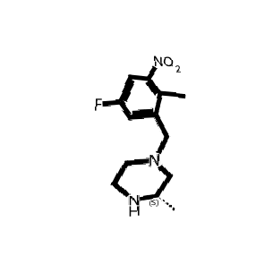 Cc1c(CN2CCN[C@@H](C)C2)cc(F)cc1[N+](=O)[O-]